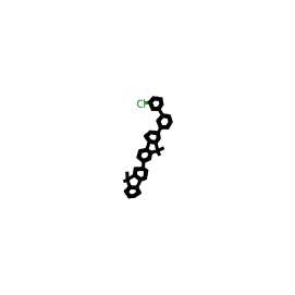 CC1(C)c2ccccc2-c2ccc(-c3ccc4c(c3)C(C)(C)c3cc(-c5cccc(-c6cccc(Cl)c6)c5)ccc3-4)cc21